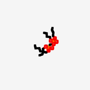 CCCCOP(=O)(OCCCC)OCP1(=O)OCC(CC)(CCCC)CO1